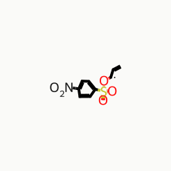 C=C[CH]OS(=O)(=O)c1ccc([N+](=O)[O-])cc1